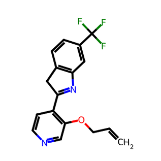 C=CCOc1cnccc1C1=Nc2cc(C(F)(F)F)ccc2C1